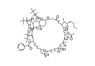 C=C1CC2CCC(OC(=O)c3ccccc3)/C=C/[C@H](O[Si](C)(C)C(C)(C)C)[C@@H]3O[C@H]4CC[C@H](CC(=O)CC5[C@H](C[C@@H](OC(C)=O)C(=C)[C@H](C)C[C@H](O)CC[C@@H]1O2)O[C@H](C[C@H](C)CC)[C@@H]5C)O[C@@H]4[C@H](O[Si](C)(C)C(C)(C)C)[C@@H]3O[Si](C)(C)C(C)(C)C